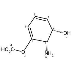 N[C@@H]1C(OC(=O)O)=CC=C[C@@H]1O